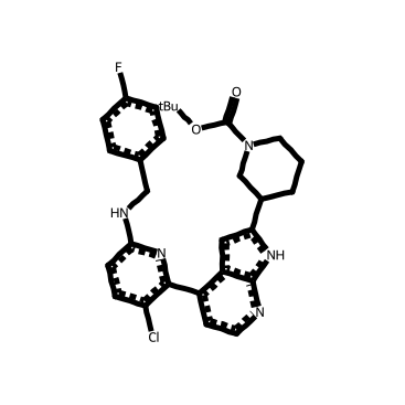 CC(C)(C)OC(=O)N1CCCC(c2cc3c(-c4nc(NCc5ccc(F)cc5)ccc4Cl)ccnc3[nH]2)C1